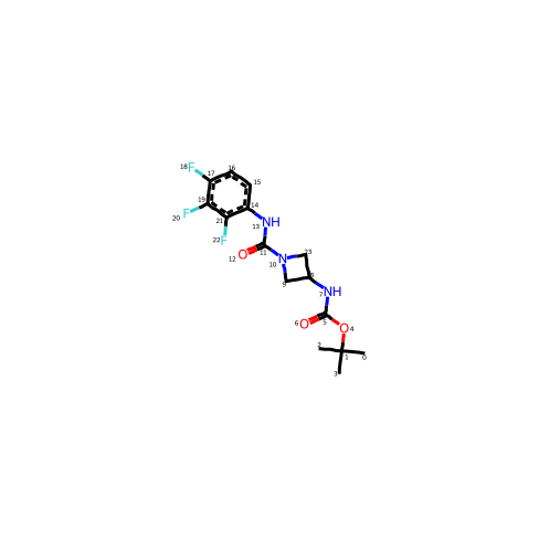 CC(C)(C)OC(=O)NC1CN(C(=O)Nc2ccc(F)c(F)c2F)C1